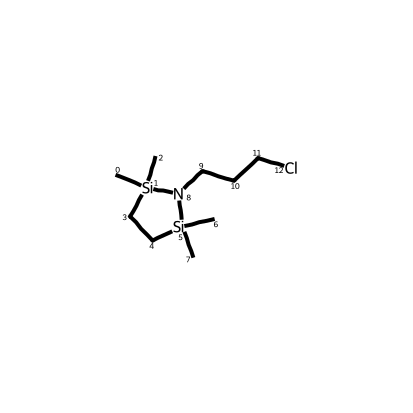 C[Si]1(C)CC[Si](C)(C)N1CCCCl